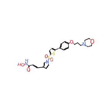 O=C(C=Cc1ccn(S(=O)(=O)c2ccc(-c3ccc(OCCCN4CCOCC4)cc3)s2)c1)NO